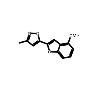 COc1cccc2oc(-c3cc(C)no3)cc12